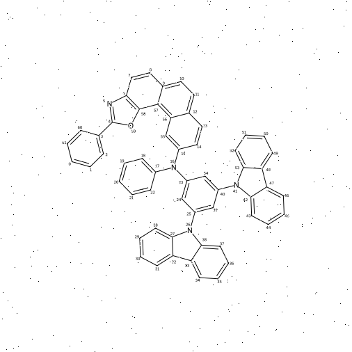 c1ccc(-c2nc3ccc4ccc5ccc(N(c6ccccc6)c6cc(-n7c8ccccc8c8ccccc87)cc(-n7c8ccccc8c8ccccc87)c6)cc5c4c3o2)cc1